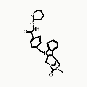 CN1CC2CN(Cc3c2c2ccccc2n3Cc2ccc(C(=O)NOC3CCCCO3)cc2)C1=O